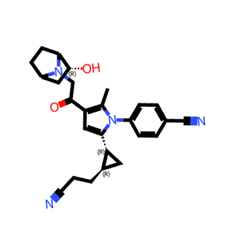 Cc1c(C(=O)CN2C3CCC2[C@H](O)C3)cc([C@@H]2C[C@H]2CCC#N)n1-c1ccc(C#N)cc1